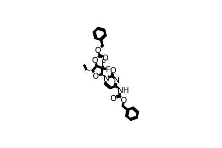 CC[C@H]1O[C@@H](n2ccc(NC(=O)OCc3ccccc3)nc2=O)C(F)(F)C1OC(=O)OCc1ccccc1